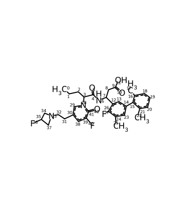 CCCC(C(=O)NC(CC(=O)O)c1cc(-c2c(C)cccc2C)cc(C)c1F)n1cc(CCN2CC(F)C2)cc(F)c1=O